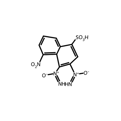 N=[N+]([O-])c1cc(S(=O)(=O)O)c2cccc([N+](=O)[O-])c2c1[N+](=N)[O-]